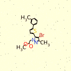 COC(=O)Cn1nc(C)c(Br)c1-c1ccc(-c2cccc(C)c2)s1